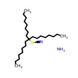 CCCCCCCCC(CCCCCCCC)(CCCCCCCC)SC#N.N